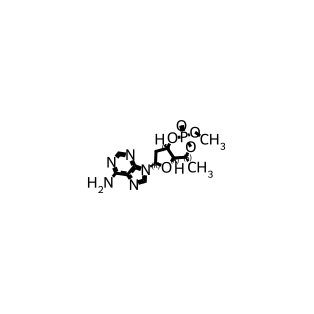 COP1(=O)O[C@@H](C)[C@H]2O[C@@H](n3cnc4c(N)ncnc43)C[C@@H]2O1